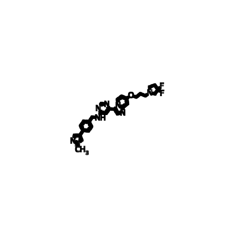 Cn1cc(-c2ccc(CNc3cc(-c4cnc5cc(OCCCN6CCC(F)(F)C6)ccn45)ncn3)cc2)cn1